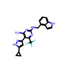 Nc1nc(NCc2cccc3[nH]ccc23)nc(C(F)(F)F)c1-c1cc(C2CC2)[nH]n1